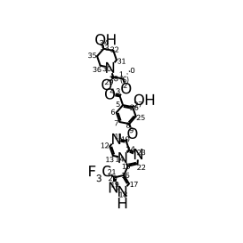 C[C@H](OC(=O)c1ccc(Oc2nccn3c(-c4c[nH]nc4C(F)(F)F)cnc23)cc1O)C(=O)N1CCC(O)CC1